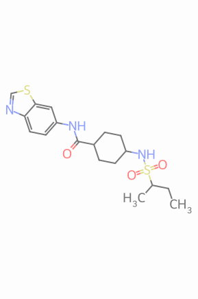 CCC(C)S(=O)(=O)NC1CCC(C(=O)Nc2ccc3ncsc3c2)CC1